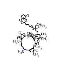 CCC(CCC(=O)N(C)[C@@H](C)C(=O)O[C@H]1CC(=O)N(C)c2cc(cc(C)c2Cl)C/C(C)=C/C=C/[C@@H](C)[C@@]2(O)CC(OC(=O)N2)[C@@H](C)[C@@H]2O[C@@]12C)(COC)SSCCCC(=O)ON1C(=O)CCC1=O